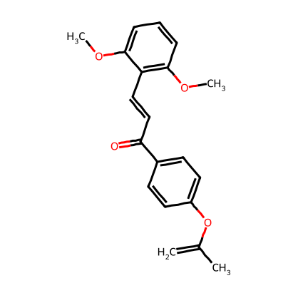 C=C(C)Oc1ccc(C(=O)C=Cc2c(OC)cccc2OC)cc1